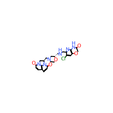 O=C1COc2cc(Cl)c(CNC[C@H]3CN(C[C@@H]4Cn5c(=O)ccc6ccc(=O)n4c65)CCO3)nc2N1